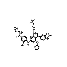 COc1cc(C(=O)NC2COC2)ccc1Nc1nc(OC2CCCC2)c2c(-c3ccc4nc(C)oc4c3)cn(COCC[Si](C)(C)C)c2n1